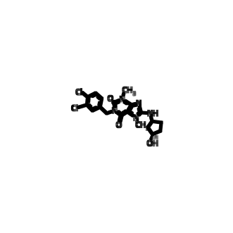 Cn1c(NC2CC[C@@H](O)C2)nc2c1c(=O)n(Cc1ccc(Cl)c(Cl)c1)c(=O)n2C